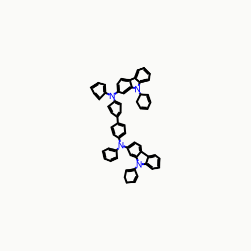 C1=CCC(n2c3ccccc3c3ccc(N(c4ccccc4)c4ccc(-c5ccc(N(c6ccccc6)c6ccc7c8ccccc8n(C8=CCCC=C8)c7c6)cc5)cc4)cc32)C=C1